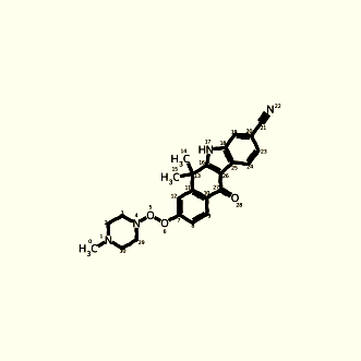 CN1CCN(OOc2ccc3c(c2)C(C)(C)c2[nH]c4cc(C#N)ccc4c2C3=O)CC1